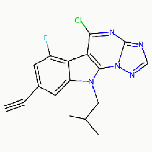 C#Cc1cc(F)c2c3c(Cl)nc4ncnn4c3n(CC(C)C)c2c1